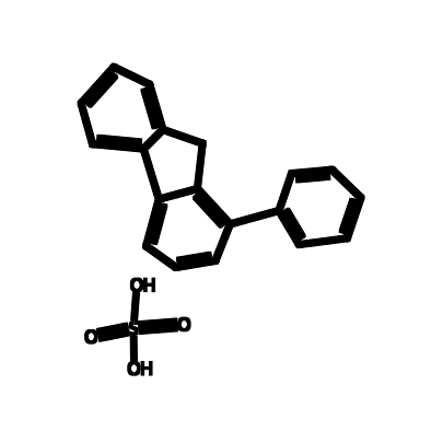 O=S(=O)(O)O.c1ccc(-c2cccc3c2Cc2ccccc2-3)cc1